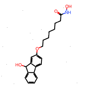 O=C(CCCCCCCOc1ccc2c(c1)C(O)c1ccccc1-2)NO